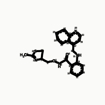 CC1=NC(CONC(=O)c2ccccc2NCc2ccnc3ccccc23)CS1